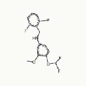 COc1cc(NCc2c(F)cccc2F)ccc1OC(F)F